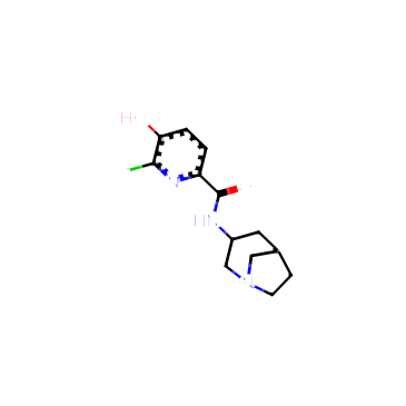 O=C(NC1CC2CCN(C2)C1)c1ccc(O)c(Cl)n1